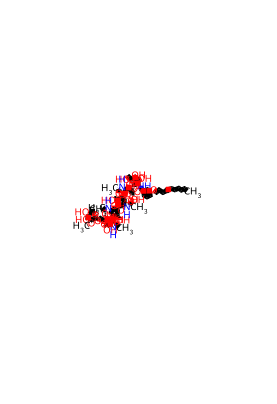 CCCCCCC#CCCCOc1cccc(C(=O)N[C@H]2C(O)[C@H](O)C(CO)O[C@H]2O[C@H]2C(O)C(NC(C)=O)C(OC3C(CO)O[C@@H](O[C@H]4C(O)C(NC(C)=O)C(OC5C(CO[C@@H]6OC(C)C(O)[C@H](O)[C@H]6OC)OC(O)[C@@H](NC(C)=O)[C@@H]5O)O[C@H]4CO)[C@@H](NC(C)=O)[C@@H]3O)O[C@H]2CO)c1